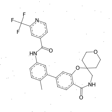 Cc1ccc(NC(=O)c2ccnc(C(F)(F)F)c2)cc1-c1ccc2c(c1)OC1(CCOCC1)CNC2=O